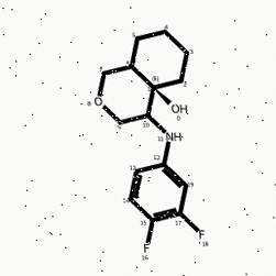 O[C@]12CCCCC1COCC2Nc1ccc(F)c(F)c1